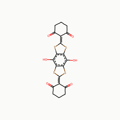 O=C1CCCC(=O)C1=C1Sc2c(O)c3c(c(O)c2S1)SC(=C1C(=O)CCCC1=O)S3